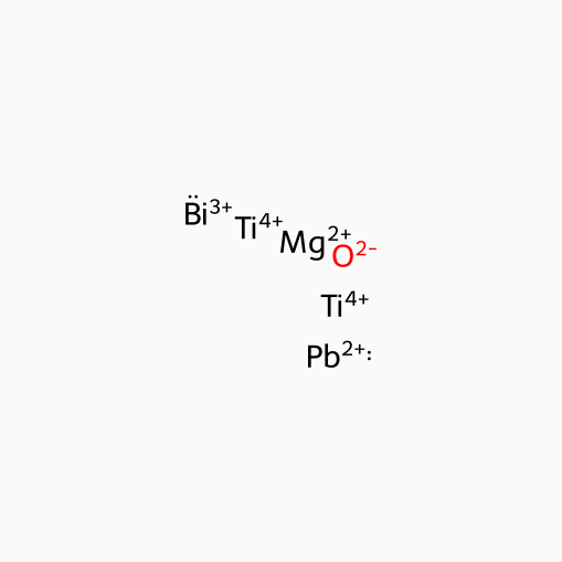 [Bi+3].[Mg+2].[O-2].[Pb+2].[Ti+4].[Ti+4]